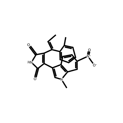 C/C=C(/C1=C(c2cn(C)c3cc([N+](=O)[O-])ccc23)C(=O)NC1=O)c1ccccc1C